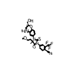 COCC[C@@]1(C)C(=O)N(c2ccc(C#N)c(C(F)(F)F)c2)C(=S)N1c1ccc2c(c1)NC[C@@H](CO)O2